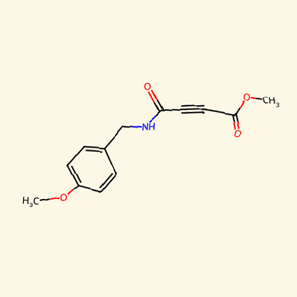 COC(=O)C#CC(=O)NCc1ccc(OC)cc1